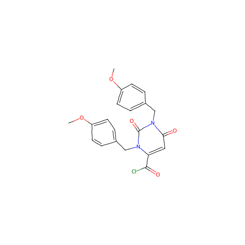 COc1ccc(Cn2c(C(=O)Cl)cc(=O)n(Cc3ccc(OC)cc3)c2=O)cc1